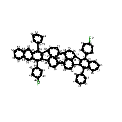 Fc1ccc(-c2c3c(c(-c4ccccc4)c4ccccc24)-c2ccc4c5ccc6c7c(ccc(c8ccc-3c2c84)c75)-c2c-6c(-c3ccc(F)cc3)c3cc4ccccc4cc3c2-c2ccccc2)cc1